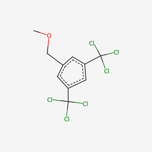 COCc1cc(C(Cl)(Cl)Cl)cc(C(Cl)(Cl)Cl)c1